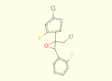 Fc1ccccc1C1OC1(CCl)c1ccc(Cl)cc1F